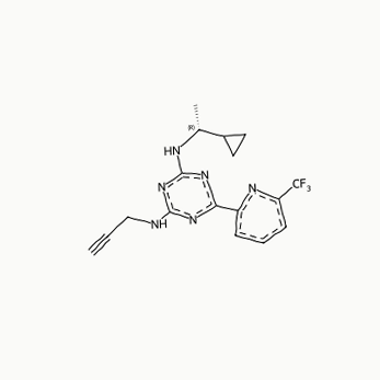 C#CCNc1nc(N[C@H](C)C2CC2)nc(-c2cccc(C(F)(F)F)n2)n1